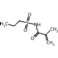 C=C(C)C(=O)NS(=O)(=O)CCC